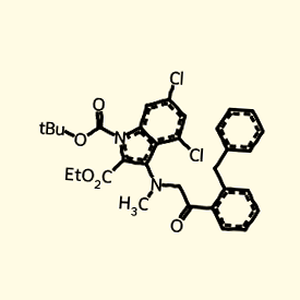 CCOC(=O)c1c(N(C)CC(=O)c2ccccc2Cc2ccccc2)c2c(Cl)cc(Cl)cc2n1C(=O)OC(C)(C)C